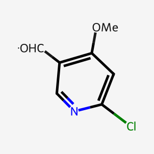 COc1cc(Cl)ncc1[C]=O